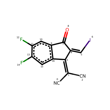 N#CC(C#N)=C1/C(=C/I)C(=O)c2cc(F)c(F)cc21